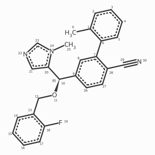 Cc1ccccc1-c1cc([C@@H](OCc2ccccc2F)c2cncn2C)ccc1C#N